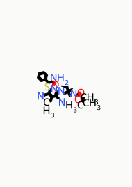 CCc1c(C#N)c(SC(C(N)=O)c2ccccc2)nc(N2CCC3(CN(C(=O)OC(C)(C)C)C3)C2)c1C#N